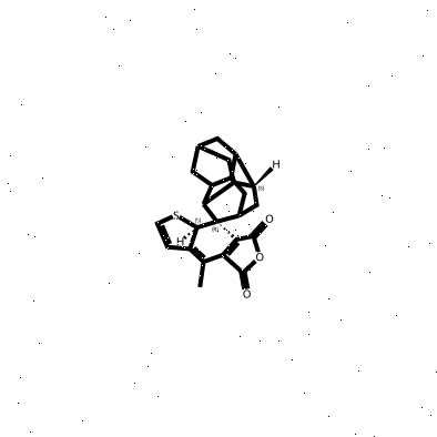 CC1=C2C=CS[C@H]2[C@]2(C3=C1C(=O)OC3=O)C1CC3C4CC5CC3[C@H](C1)C(C5)C42